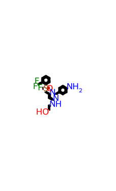 C=S(=O)(Cc1cc(NCCO)nc(-c2ccc(N)cc2)n1)c1ccccc1C(F)(F)F